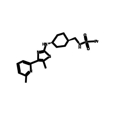 Cc1cccc(-c2nc(N[C@H]3CC[C@H](CNS(=O)(=O)C(C)C)CC3)sc2C)n1